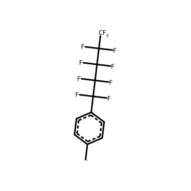 [CH2]c1ccc(C(F)(F)C(F)(F)C(F)(F)C(F)(F)C(F)(F)F)cc1